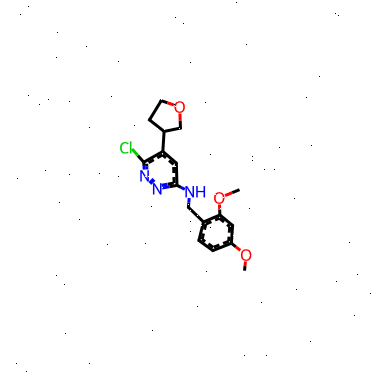 COc1ccc(CNc2cc(C3CCOC3)c(Cl)nn2)c(OC)c1